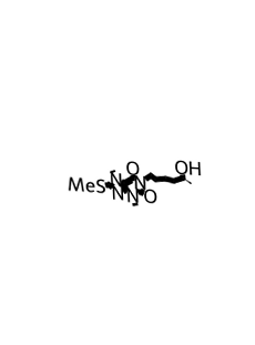 CSc1nc2c(c(=O)n(CCCC[C@@H](C)O)c(=O)n2C)n1C